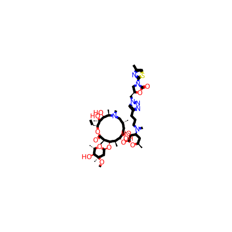 CC[C@H]1OC(=O)[C@H](C)[C@@H](O[C@H]2C[C@@](C)(OC)[C@@H](O)[C@H](C)O2)[C@H](C)[C@@H](O[C@@H]2O[C@H](C)C[C@H](N(C)CCCc3cn(C[C@H]4CN(c5nc(C)cs5)C(=O)O4)nn3)[C@H]2O)[C@](C)(O)C[C@@H](C)CN(C)[C@H](C)[C@@H](O)[C@]1(C)O